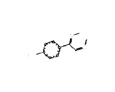 C/N=C\C(=N/C)c1ccc(C(F)(F)F)cc1